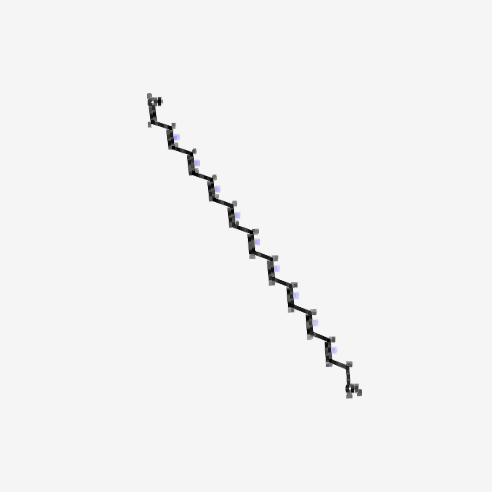 [CH]=C/C=C/C=C/C=C/C=C/C=C/C=C/C=C/C=C/C=C/CC